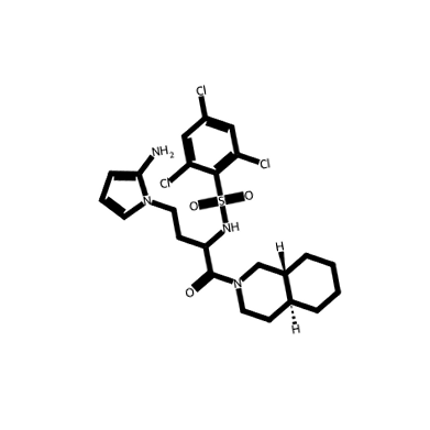 Nc1cccn1CCC(NS(=O)(=O)c1c(Cl)cc(Cl)cc1Cl)C(=O)N1CC[C@@H]2CCCC[C@H]2C1